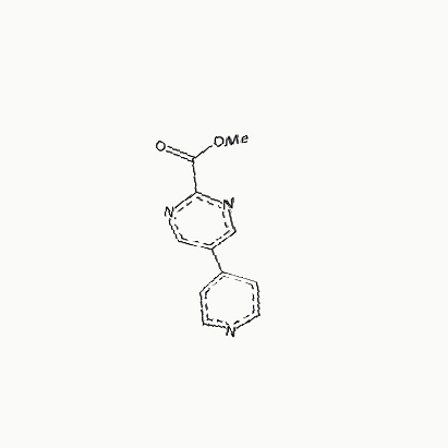 COC(=O)c1ncc(-c2ccncc2)cn1